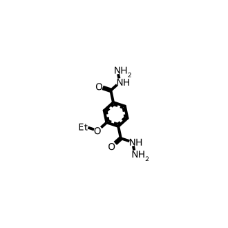 CCOc1cc(C(=O)NN)ccc1C(=O)NN